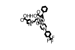 O=C(O)c1cnn(CCN([C@]2(C(=O)O)C[C@@H]2c2ccccc2)S(=O)(=O)N2CCN(c3ccc(C(F)(F)F)cc3)CC2)c1